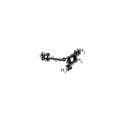 B[P@]1(=O)OC[C@H]2O[C@@H](n3cnc4c(N)ccnc43)[C@H](F)[C@@H]2O[P@@](=O)(SCc2ccc(COCCOCCOCCn3nnc4c3-c3ccccc3CN(C(=O)CC)c3ccccc3-4)cc2)OC[C@H]2O[C@@H](n3cnc4c(N)ncnc43)[C@H](F)[C@@H]2O1